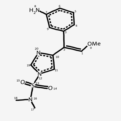 CO/C=C(\c1cccc(N)c1)c1cn(S(=O)(=O)N(C)C)cn1